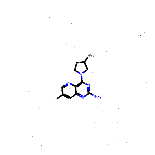 CCc1cnc2c(N3CCC(NC)C3)nc(N)nc2c1